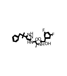 C[C@H](NC(=O)[C@@H](O)c1cc(F)cc(F)c1)C(=O)Nc1cc(C(C)(C)Cc2ccccc2)n[nH]1